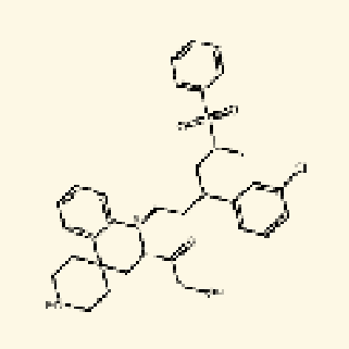 CN(CC(CC[C@@H]1c2ccccc2C2(CCNCC2)CN1C(=O)OC(C)(C)C)c1cccc(Cl)c1)S(=O)(=O)c1ccccc1